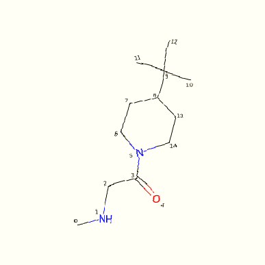 CNCC(=O)N1CCC(C(C)(C)C)CC1